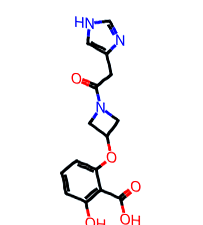 O=C(O)c1c(O)cccc1OC1CN(C(=O)Cc2c[nH]cn2)C1